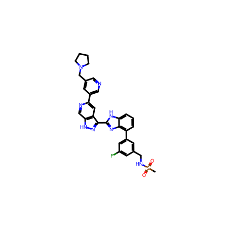 CS(=O)(=O)NCc1cc(F)cc(-c2cccc3[nH]c(-c4n[nH]c5cnc(-c6cncc(CN7CCCC7)c6)cc45)nc23)c1